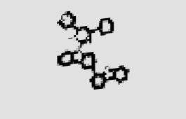 C1=CCCC(C2=CC(c3ccccc3)NC(n3c4ccccc4c4cc(-c5cccc6c5sc5ccccc56)ccc43)=N2)=C1